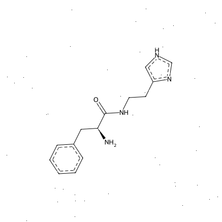 N[C@@H](Cc1ccccc1)C(=O)NCCc1c[nH]cn1